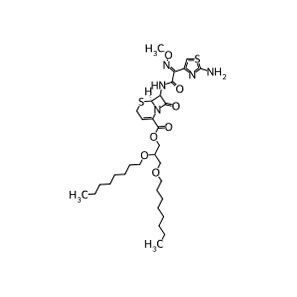 CCCCCCCCOCC(COC(=O)C1=CCS[C@H]2C(NC(=O)C(=NOC)c3csc(N)n3)C(=O)N12)OCCCCCCCC